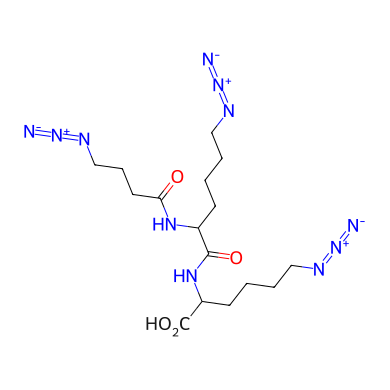 [N-]=[N+]=NCCCCC(NC(=O)C(CCCCN=[N+]=[N-])NC(=O)CCCN=[N+]=[N-])C(=O)O